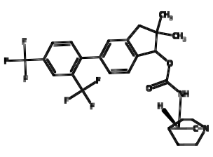 CC1(C)Cc2cc(-c3ccc(C(F)(F)F)cc3C(F)(F)F)ccc2C1OC(=O)N[C@@H]1CN2CCC1CC2